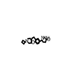 O=C1CCC(c2ccc3c(c2)CCC2(CCN(C4CCC4)CC2)O3)=NN1